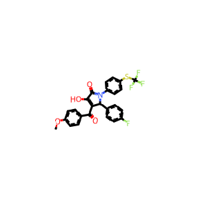 COc1ccc(C(=O)C2=C(O)C(=O)N(c3ccc(SC(F)(F)F)cc3)C2c2ccc(F)cc2)cc1